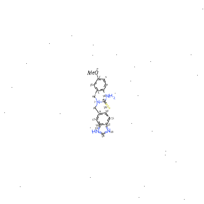 COc1cccc(CN(Cc2ccc3nc[nH]c3c2)C(N)=S)c1